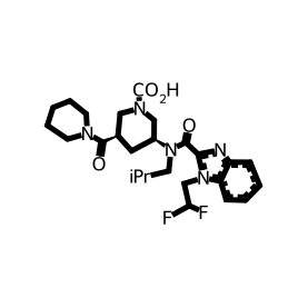 CC(C)CN(C(=O)c1nc2ccccc2n1CC(F)F)[C@H]1C[C@@H](C(=O)N2CCCCC2)CN(C(=O)O)C1